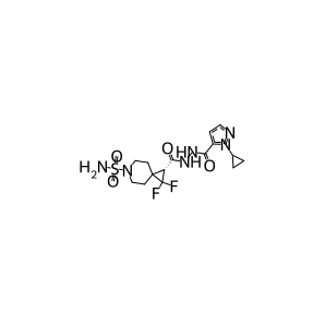 NS(=O)(=O)N1CCC2(CC1)[C@H](C(=O)NNC(=O)c1ccnn1C1CC1)C2(F)F